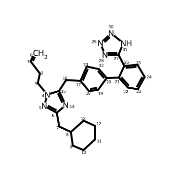 C=CCCn1nc(CC2CCCCC2)nc1Cc1ccc(-c2ccccc2-c2nnn[nH]2)cc1